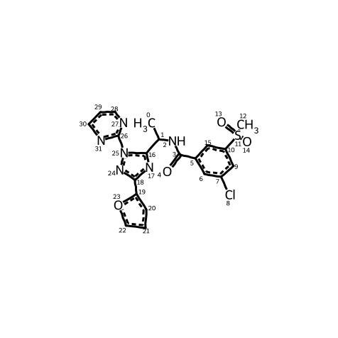 CC(NC(=O)c1cc(Cl)cc(S(C)(=O)=O)c1)c1nc(-c2ccco2)nn1-c1ncccn1